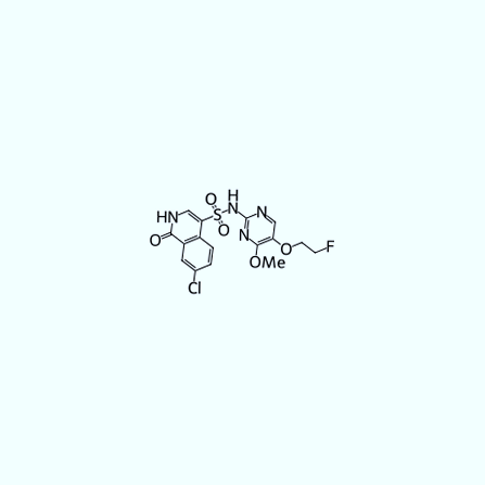 COc1nc(NS(=O)(=O)c2c[nH]c(=O)c3cc(Cl)ccc23)ncc1OCCF